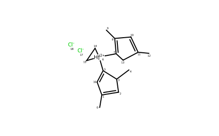 CC1=CC(C)[C]([Hf+2]2([C]3=C(C)C=C(C)C3)[CH2][CH2]2)=C1.[Cl-].[Cl-]